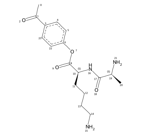 CC(=O)c1ccc(OC(=O)[C@H](CCCCN)NC(=O)[C@H](C)N)cc1